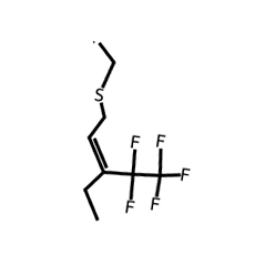 [CH2]CSCC=C(CC)C(F)(F)C(F)(F)F